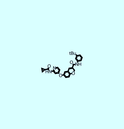 CC(C)(C)c1cccc(NC(=O)C2=Cc3cc(Oc4ccnc(NC(=O)C5CC5)c4)ccc3OC2)c1